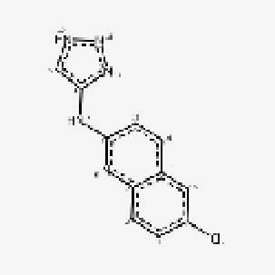 Clc1ccc2nc(Nc3c[nH]nn3)ccc2c1